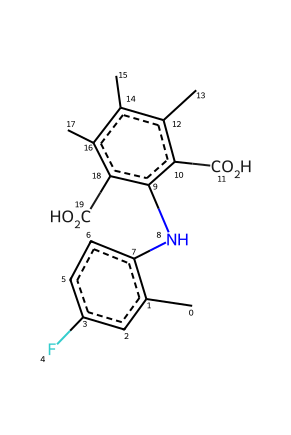 Cc1cc(F)ccc1Nc1c(C(=O)O)c(C)c(C)c(C)c1C(=O)O